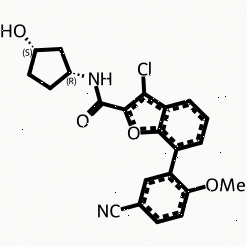 COc1ccc(C#N)cc1-c1cccc2c(Cl)c(C(=O)N[C@@H]3CC[C@H](O)C3)oc12